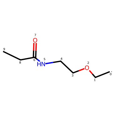 [CH2]COCCNC(=O)CC